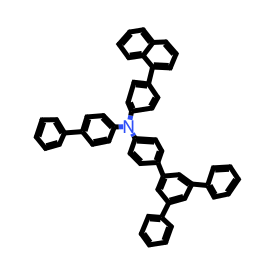 c1ccc(-c2ccc(N(c3ccc(-c4cc(-c5ccccc5)cc(-c5ccccc5)c4)cc3)c3ccc(-c4cccc5ccccc45)cc3)cc2)cc1